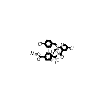 COC(=O)c1ccc([C@H](C)NC(=O)c2cc(Cl)cnc2N(C)Cc2ccc(Cl)cc2)cc1